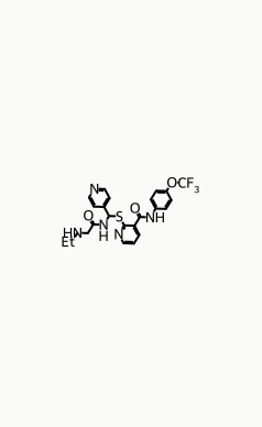 CCNCC(=O)NC(Sc1ncccc1C(=O)Nc1ccc(OC(F)(F)F)cc1)c1ccncc1